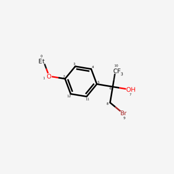 CCOc1ccc(C(O)(CBr)C(F)(F)F)cc1